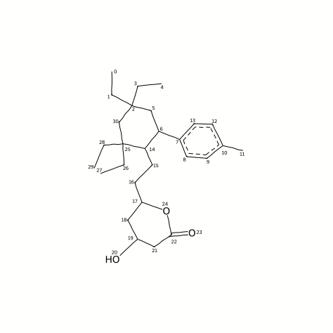 CCC1(CC)CC(c2ccc(C)cc2)C(CCC2CC(O)CC(=O)O2)C(CC)(CC)C1